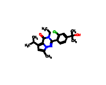 CCn1c(-c2ccc(C(C)(C)O)cc2Cl)nn2c(C)cc(C(C)C)c2c1=O